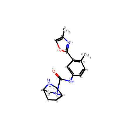 Cc1coc(-c2cc(NC(=O)N3CC4CCC3CN4)ccc2C)n1